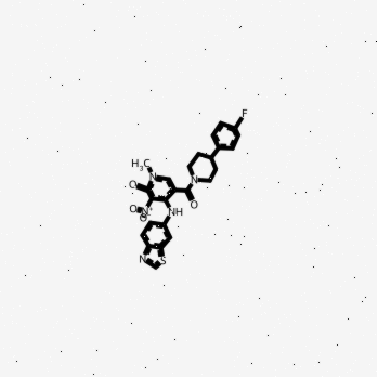 Cn1cc(C(=O)N2CCC(c3ccc(F)cc3)CC2)c(Nc2ccc3ncsc3c2)c([N+](=O)[O-])c1=O